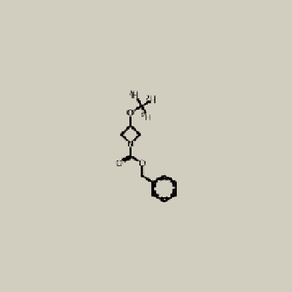 [2H]C([2H])([2H])OC1CN(C(=O)OCc2ccccc2)C1